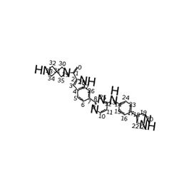 C=C(c1cc2ccc(-c3nccc(Nc4ccc(-c5cn[nH]c5)cc4)n3)cc2[nH]1)N1CC2(CNC2)C1